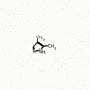 CC1=C(C)C=BB1